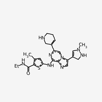 CCNC(=O)c1sc(Nc2nc(C3=CCCNC3)cn3c(C4=CN(C)NC4)cnc23)cc1C